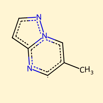 Cc1[c]nc2ccnn2c1